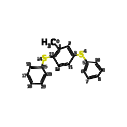 Cc1cc(Sc2ccccc2)ccc1Sc1ccccc1